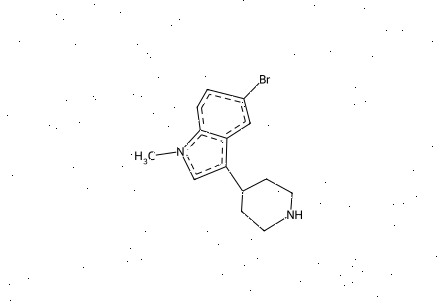 Cn1cc(C2CCNCC2)c2cc(Br)ccc21